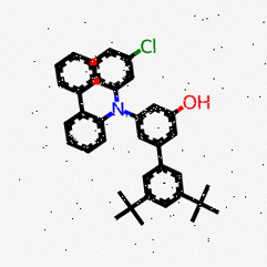 CC(C)(C)c1cc(-c2cc(O)cc(N(c3cccc(Cl)c3)c3ccccc3-c3ccccc3)c2)cc(C(C)(C)C)c1